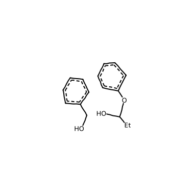 CCC(O)Oc1ccccc1.OCc1ccccc1